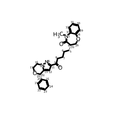 CN1C(=O)[C@@H](CCCCC(=O)c2cc3n(n2)CCO[C@H]3c2ccccc2)COc2ccccc21